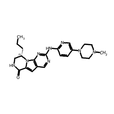 CCC[C@H]1CNC(=O)c2cc3cnc(Nc4ccc(N5CCN(C)CC5)cn4)nc3n21